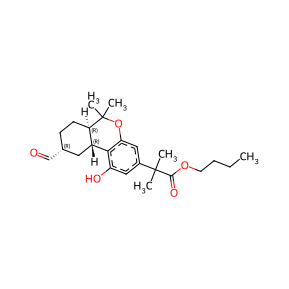 CCCCOC(=O)C(C)(C)c1cc(O)c2c(c1)OC(C)(C)[C@@H]1CC[C@@H](C=O)C[C@@H]21